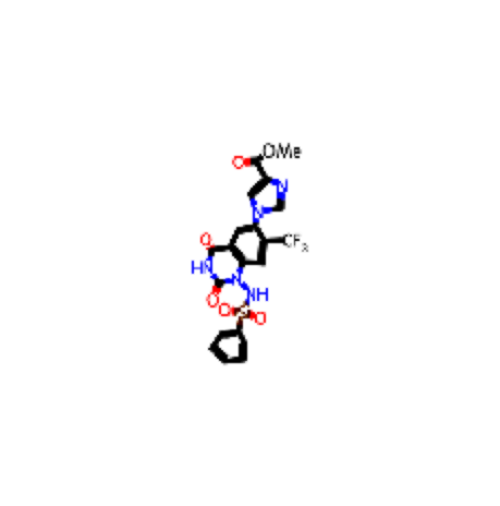 COC(=O)c1cn(-c2cc3c(=O)[nH]c(=O)n(NS(=O)(=O)c4ccccc4)c3cc2C(F)(F)F)cn1